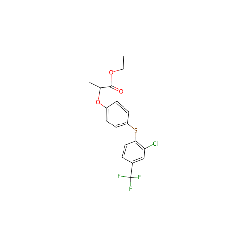 CCOC(=O)C(C)Oc1ccc(Sc2ccc(C(F)(F)F)cc2Cl)cc1